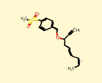 C#CC(CC=C/C=C\C)OCc1ccc(S(C)(=O)=O)cc1